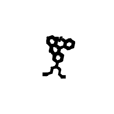 O=C(O)c1ccccc1-c1c2ccccc2[o+]c2cc(N(CCO)CCO)ccc12